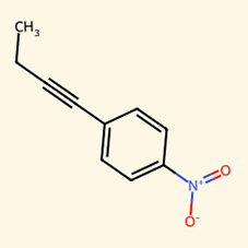 CCC#Cc1ccc([N+](=O)[O-])cc1